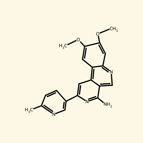 COc1cc2ncc3c(N)nc(-c4ccc(C)nc4)cc3c2cc1OC